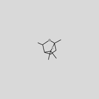 CC1OC2(C)CCC1C(C)(C)C2